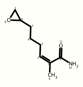 CC(=CCCCC1CO1)C(N)=O